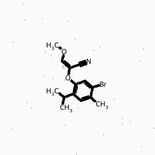 CO/C=C(\C#N)Oc1cc(Br)c(C)cc1C(C)C